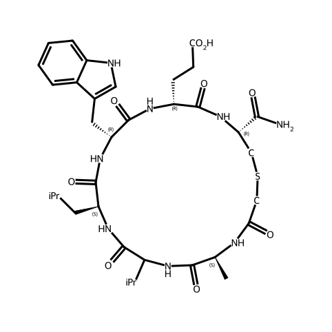 CC(C)C[C@@H]1NC(=O)C(C(C)C)NC(=O)[C@H](C)NC(=O)CSC[C@@H](C(N)=O)NC(=O)[C@@H](CCC(=O)O)NC(=O)[C@@H](Cc2c[nH]c3ccccc23)NC1=O